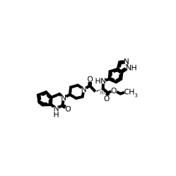 CCOC(=O)[C@H](CC(=O)N1CCC(N2Cc3ccccc3NC2=O)CC1)Nc1ccc2[nH]ncc2c1